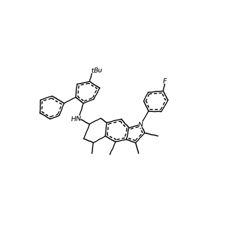 Cc1c2c(cc3c1c(C)c(C)n3-c1ccc(F)cc1)CC(Nc1ccc(C(C)(C)C)cc1-c1ccccc1)CC2C